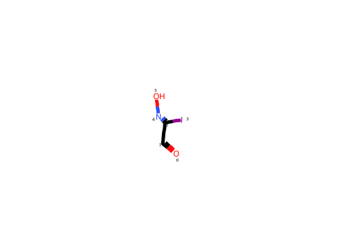 O=C/C(I)=N/O